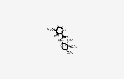 COc1ccnc(C(=O)N[C@@H]2OC[C@H](OC(C)=O)[C@H](OC(C)=O)[C@H]2OC(C)=O)c1O